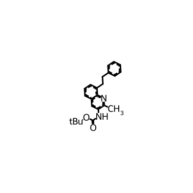 Cc1nc2c(CCc3ccccc3)cccc2cc1NC(=O)OC(C)(C)C